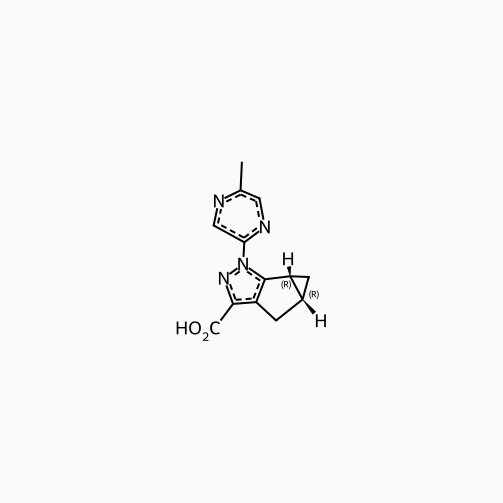 Cc1cnc(-n2nc(C(=O)O)c3c2[C@@H]2C[C@@H]2C3)cn1